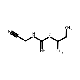 CCC(C)NC(=N)NCC#N